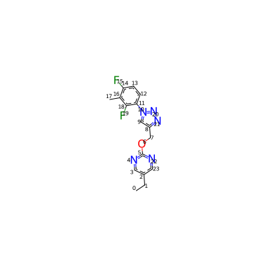 CCc1cnc(OCc2cn(-c3ccc(F)c(C)c3F)nn2)nc1